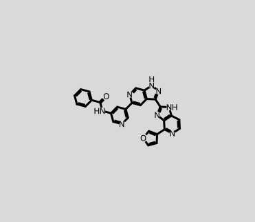 O=C(Nc1cncc(-c2cc3c(-c4nc5c(-c6ccoc6)nccc5[nH]4)n[nH]c3cn2)c1)c1ccccc1